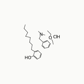 CCCCCCCCc1ccccc1O.CCOCC.CN(C)Cc1ccccc1.Cl